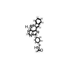 CC(=O)NC[C@H]1CC[C@H](c2nc(-c3cc4ccccc4[nH]3)c3c(N)ncnn32)CC1